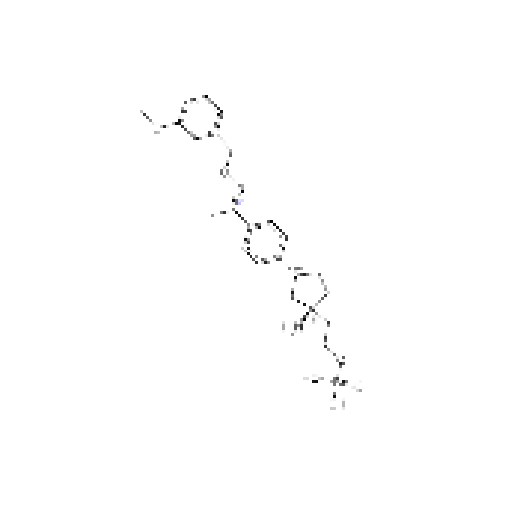 COc1cccc(CO/N=C(\C)c2ccc([C@@H]3CC[C@](N)(CCOP(=O)(O)O)C3)cc2)c1